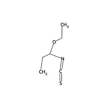 CCOC(CC)N=C=S